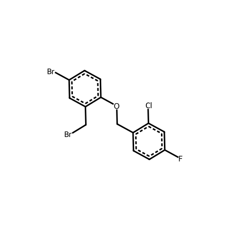 Fc1ccc(COc2ccc(Br)cc2CBr)c(Cl)c1